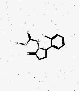 Cc1ccccc1C1CCC(=O)N1NC(=O)OC(C)(C)C